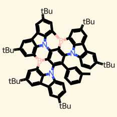 Cc1cccc(-c2c3c4c5c6c2-n2c7ccc(C(C)(C)C)cc7c7cc(C(C)(C)C)cc(c72)B6c2cc(C(C)(C)C)cc6c7cc(C(C)(C)C)cc(c7n-5c26)B4c2cc(C(C)(C)C)cc4c5cc(C(C)(C)C)ccc5n-3c24)c1